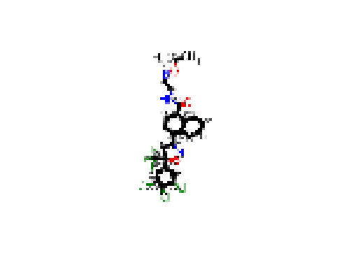 CC(C)O/N=C\CNC(=O)c1ccc(C2=NOC(c3cc(Cl)c(Cl)c(Cl)c3)(C(F)(F)F)C2)c2ccccc12